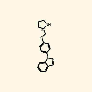 c1ccc2c(c1)cnn2-c1ccc(OC[C@H]2CCCN2)cc1